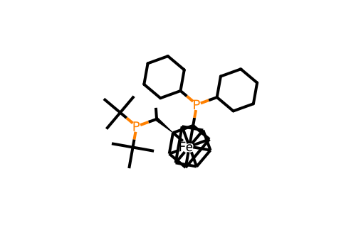 CC(P(C(C)(C)C)C(C)(C)C)[C@@]12[CH]3[CH]4[CH]5[C]1(P(C1CCCCC1)C1CCCCC1)[Fe]45321678[CH]2[CH]1[CH]6[CH]7[CH]28